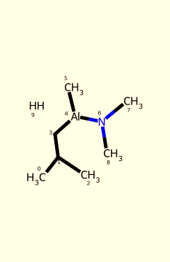 CC(C)[CH2][Al]([CH3])[N](C)C.[HH]